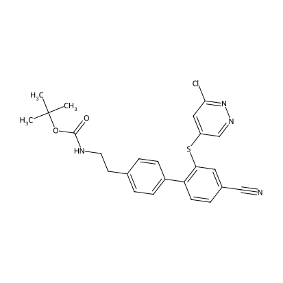 CC(C)(C)OC(=O)NCCc1ccc(-c2ccc(C#N)cc2Sc2cnnc(Cl)c2)cc1